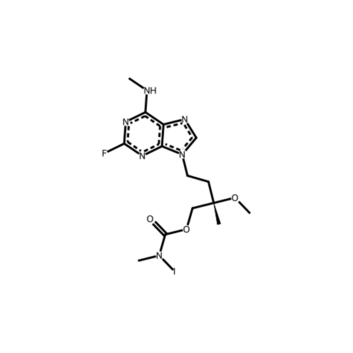 CNc1nc(F)nc2c1ncn2CC[C@@](C)(COC(=O)N(C)I)OC